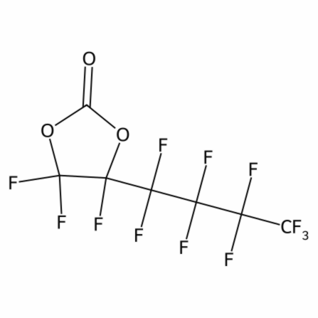 O=C1OC(F)(F)C(F)(C(F)(F)C(F)(F)C(F)(F)C(F)(F)F)O1